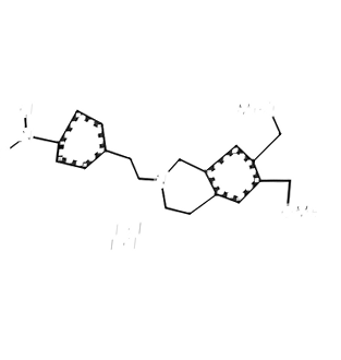 COCc1cc2c(cc1COC)CN(CCc1ccc(N(C)C)cc1)CC2.Cl.Cl